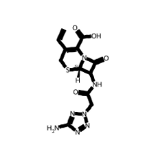 C=CC1=C(C(=O)O)N2C(=O)C(NC(=O)Cn3nnc(N)n3)[C@@H]2SC1